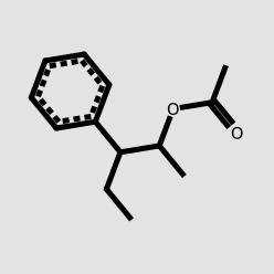 CCC(c1ccccc1)C(C)OC(C)=O